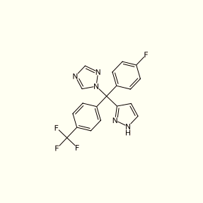 Fc1ccc(C(c2ccc(C(F)(F)F)cc2)(c2cc[nH]n2)n2cncn2)cc1